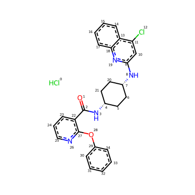 Cl.O=C(N[C@H]1CC[C@@H](Nc2cc(Cl)c3ccccc3n2)CC1)c1cccnc1Oc1ccccc1